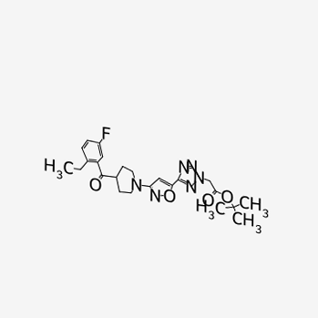 CCc1ccc(F)cc1C(=O)C1CCN(c2cc(-c3nnn(CC(=O)OC(C)(C)C)n3)on2)CC1